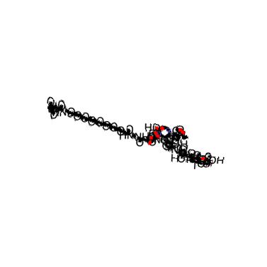 CCN(C(C)=O)[C@H]1CO[C@@H](O[C@H]2[C@H](O[C@H]3C#C/C=C\C#C[C@]4(O)CC(=O)C(NC(=O)OC)=C3/C4=C\CSSC(C)(C)CCC(=O)NCCNC(=O)CCOCCOCCOCCOCCOCCOCCOCCOCCNC(=O)CCN3C(=O)C=CC3=O)O[C@H](C)[C@@H](NO[C@H]3C[C@H](O)[C@H](SC(=O)c4c(C)c(I)c(O[C@@H]5O[C@@H](C)[C@H](O)[C@@H](OC)[C@H]5O)c(OC)c4OC)[C@@H](C)O3)[C@@H]2O)C[C@@H]1OC